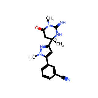 CN1C(=N)N[C@](C)(c2cc(-c3cccc(C#N)c3)n(C)n2)CC1=O